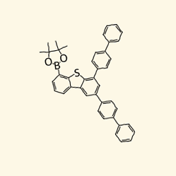 CC1(C)OB(c2cccc3c2sc2c(-c4ccc(-c5ccccc5)cc4)cc(-c4ccc(-c5ccccc5)cc4)cc23)OC1(C)C